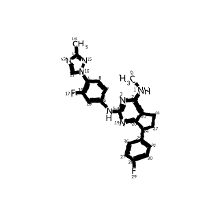 CNc1nc(Nc2ccc(-n3cnc(C)n3)c(F)c2)nc2c1CCC2c1ccc(F)cc1